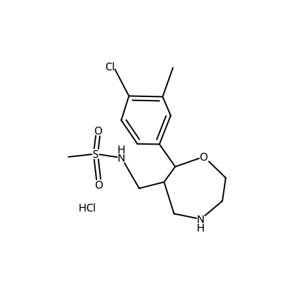 Cc1cc(C2OCCNCC2CNS(C)(=O)=O)ccc1Cl.Cl